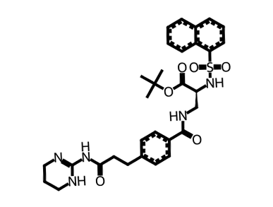 CC(C)(C)OC(=O)[C@H](CNC(=O)c1ccc(CCC(=O)NC2=NCCCN2)cc1)NS(=O)(=O)c1cccc2ccccc12